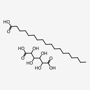 CCCCCCCCCCCCCCCCCC(=O)O.O=C(O)C(O)C(O)C(O)C(O)C(=O)O